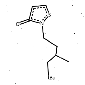 CC(CCn1sccc1=O)CC(C)(C)C